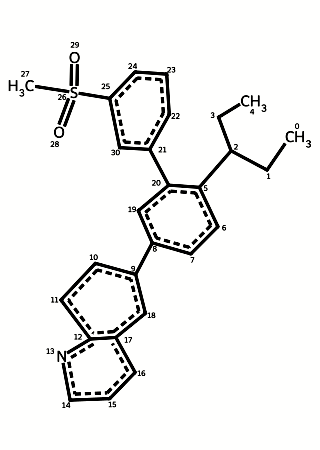 CCC(CC)c1ccc(-c2ccc3ncccc3c2)cc1-c1cccc(S(C)(=O)=O)c1